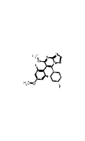 COc1cc(F)c(-c2c(OC)nc3ncnn3c2[C@H]2CC[C@H](F)CC2)c(F)c1